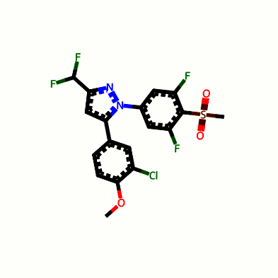 COc1ccc(-c2cc(C(F)F)nn2-c2cc(F)c(S(C)(=O)=O)c(F)c2)cc1Cl